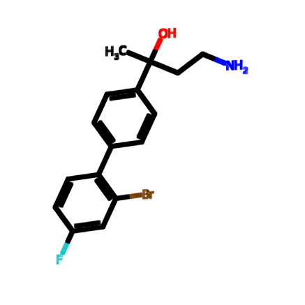 CC(O)(CCN)c1ccc(-c2ccc(F)cc2Br)cc1